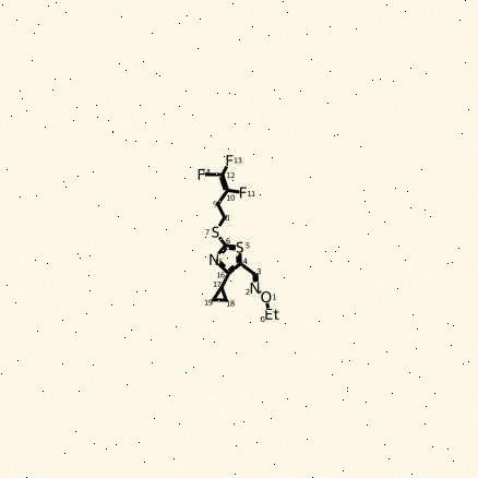 CCON=Cc1sc(SCCC(F)=C(F)F)nc1C1CC1